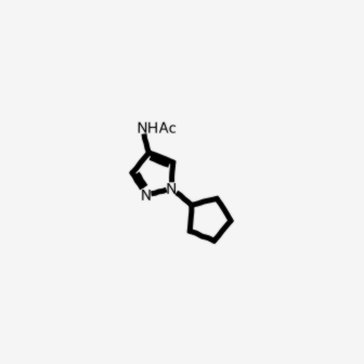 CC(=O)Nc1cnn(C2CCCC2)c1